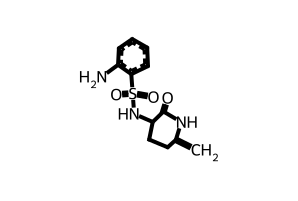 C=C1CCC(NS(=O)(=O)c2ccccc2N)C(=O)N1